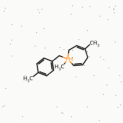 CC1=CC[PH](C)(Cc2ccc(C)cc2)C=CC1